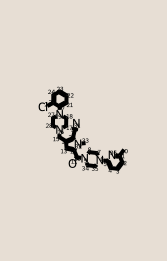 Cc1cccc(N2CCN(C(=O)c3cc(CN4CCN(c5ccccc5Cl)CC4)c(C#N)n3C)CC2)n1